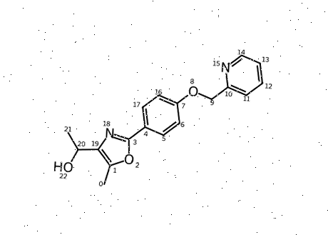 Cc1oc(-c2ccc(OCc3ccccn3)cc2)nc1C(C)O